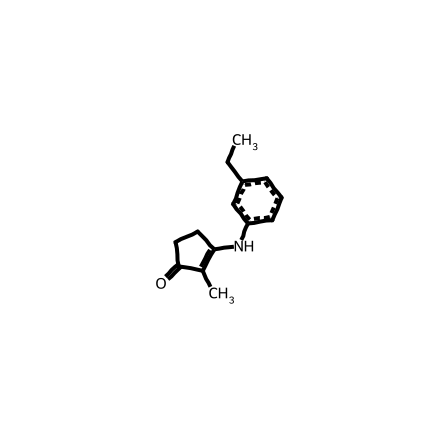 CCc1cccc(NC2=C(C)C(=O)CC2)c1